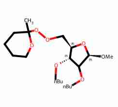 CCCCOC1[C@H](OC)O[C@H](COOC2(C)CCCCO2)[C@H]1OCCCC